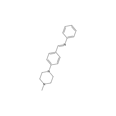 CN1CCN(c2ccc(C=Nc3ccccc3)cc2)CC1